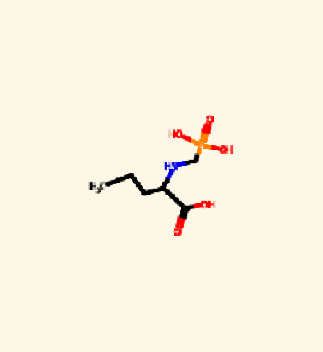 CCCC(NCP(=O)(O)O)C(=O)O